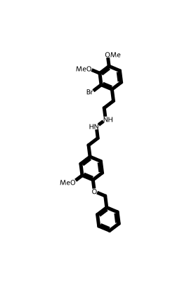 COc1cc(CCNNCCc2ccc(OC)c(OC)c2Br)ccc1OCc1ccccc1